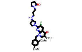 COc1ccc(Cn2cc(C(=O)O)c(=O)c3cc(F)c(N4CCC(NCCCN5CCCC5=O)C4)nc32)c(OC)c1